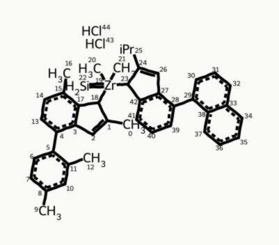 CC1=Cc2c(-c3ccc(C)cc3C)ccc(C)c2[CH]1[Zr]([CH3])([CH3])(=[SiH2])[CH]1C(C(C)C)=Cc2c(-c3cccc4ccccc34)cccc21.Cl.Cl